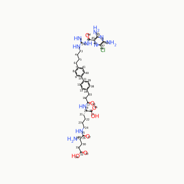 N=C(NCCCCc1ccc(-c2ccc(CCC(=O)N[C@@H](CCCCNC(=O)[C@@H](N)CCC(=O)O)C(=O)O)cc2)cc1)NC(=O)c1nc(Cl)c(N)nc1N